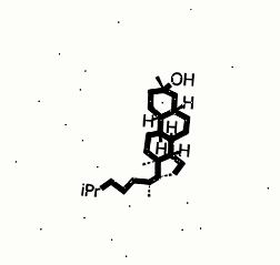 CC(C)CCC[C@@H](C)[C@H]1CC[C@H]2[C@@H]3CC[C@H]4C[C@@](C)(O)CC[C@@H]4[C@H]3CC[C@]12C